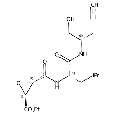 C#CC[C@@H](CO)NC(=O)[C@H](CC(C)C)NC(=O)[C@H]1O[C@@H]1C(=O)OCC